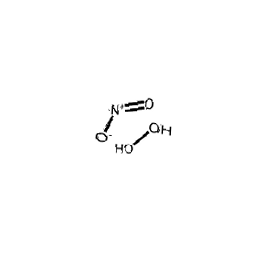 O=[N+][O-].OO